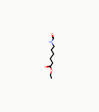 CCOC(=O)CCCCCNC=O